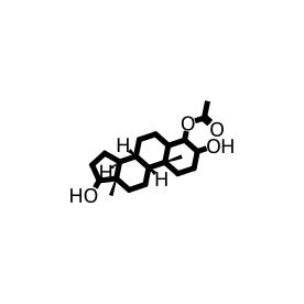 CC(=O)OC1C(O)CC[C@@]2(C)C1CC[C@@H]1[C@H]2CC[C@]2(C)C(O)CC[C@@H]12